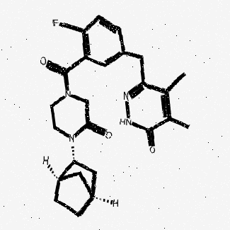 Cc1c(Cc2ccc(F)c(C(=O)N3CCN([C@@H]4C[C@H]5CC[C@@H]4C5)C(=O)C3)c2)n[nH]c(=O)c1C